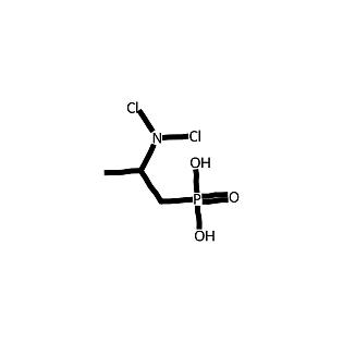 CC(CP(=O)(O)O)N(Cl)Cl